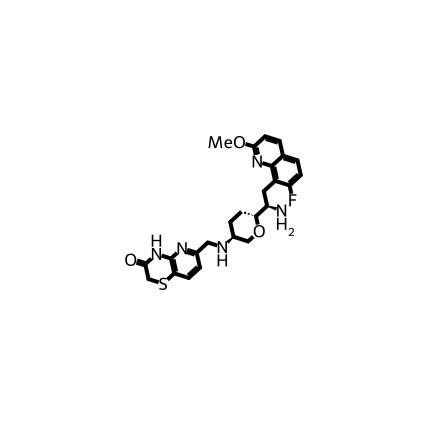 COc1ccc2ccc(F)c(C[C@@H](N)[C@H]3CC[C@H](NCc4ccc5c(n4)NC(=O)CS5)CO3)c2n1